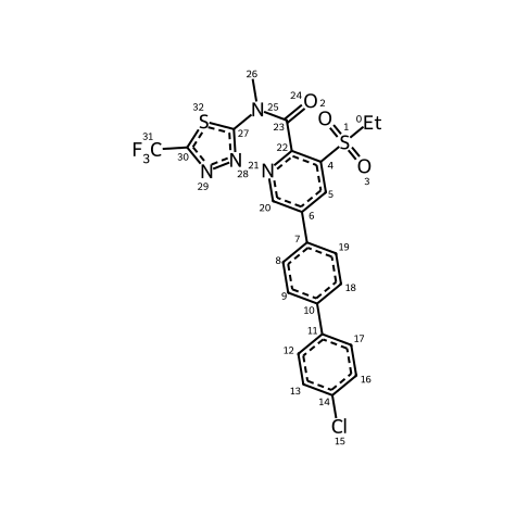 CCS(=O)(=O)c1cc(-c2ccc(-c3ccc(Cl)cc3)cc2)cnc1C(=O)N(C)c1nnc(C(F)(F)F)s1